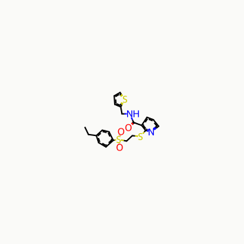 CCc1ccc(S(=O)(=O)CCSc2ncccc2C(=O)NCc2cccs2)cc1